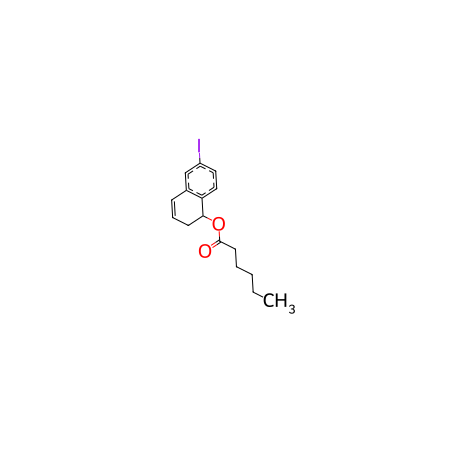 CCCCCC(=O)OC1CC=Cc2cc(I)ccc21